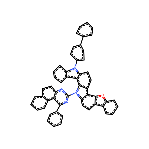 c1ccc(-c2ccc(-n3c4ccccc4c4c3ccc3c5c6oc7ccccc7c6ccc5n(-c5nc(-c6ccccc6)c6c(ccc7ccccc76)n5)c34)cc2)cc1